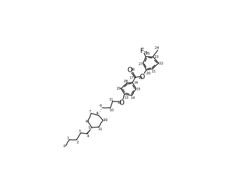 CCCCC[C@H]1CC[C@H](CCCOc2ccc(C(=O)Oc3ccc(C)c(F)c3)cc2)CC1